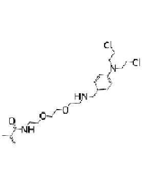 C=C(C)C(=O)NCCOCCOCCNCc1ccc(N(CCCl)CCCl)cc1